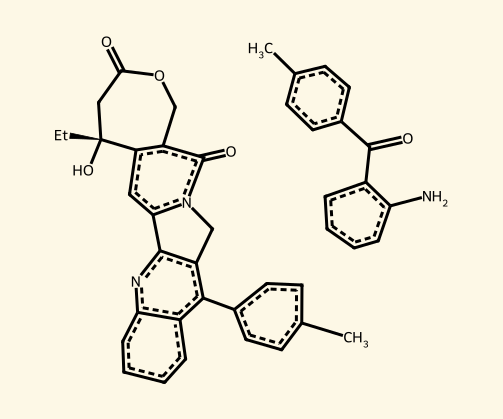 CC[C@@]1(O)CC(=O)OCc2c1cc1n(c2=O)Cc2c-1nc1ccccc1c2-c1ccc(C)cc1.Cc1ccc(C(=O)c2ccccc2N)cc1